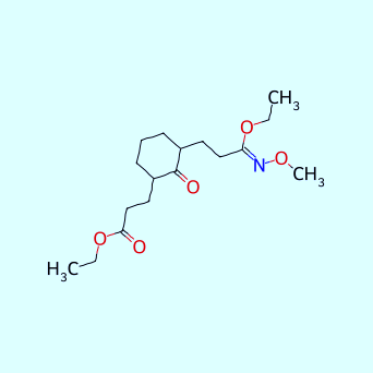 CCOC(=O)CCC1CCCC(CCC(=NOC)OCC)C1=O